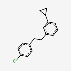 Clc1ccc(C[CH]c2cccc(C3CC3)c2)cc1